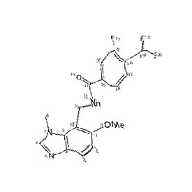 COc1ccc2ncn(C)c2c1CNC(=O)c1ccc(C(F)F)c(F)c1